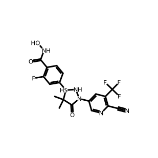 CC1(C)C(=O)N(c2cnc(C#N)c(C(F)(F)F)c2)N[SH]1c1ccc(C(=O)NO)c(F)c1